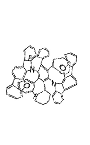 Fc1ccccc1-c1c(C2CCCCC2)c(-n2c3ccccc3c3ccc4c5ccccc5oc4c32)c(C2CCCCC2)c(-c2ccccc2F)c1-n1c2ccccc2c2ccc3c4ccccc4oc3c21